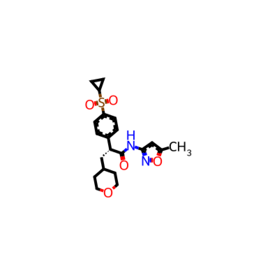 Cc1cc(NC(=O)[C@H](CC2CCOCC2)c2ccc(S(=O)(=O)C3CC3)cc2)no1